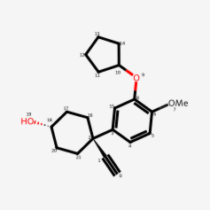 C#C[C@]1(c2ccc(OC)c(OC3CCCC3)c2)CC[C@@H](O)CC1